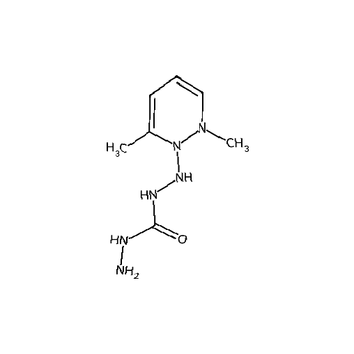 CC1=CC=CN(C)N1NNC(=O)NN